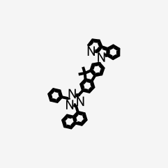 CC1(C)c2cc(-c3nc(-c4ccccc4)nc(-c4cccc5ccccc45)n3)ccc2-c2ccc(-n3c4ccccc4c4cccnc43)cc21